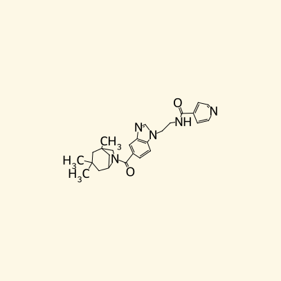 CC1(C)CC2CC(C)(CN2C(=O)c2ccc3c(c2)ncn3CCNC(=O)c2ccncc2)C1